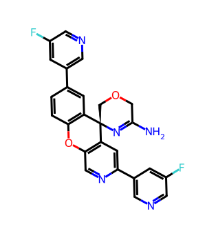 NC1=N[C@@]2(COC1)c1cc(-c3cncc(F)c3)ccc1Oc1cnc(-c3cncc(F)c3)cc12